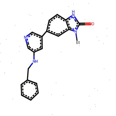 CCn1c(=O)[nH]c2ccc(-c3cncc(NCc4ccccc4)c3)cc21